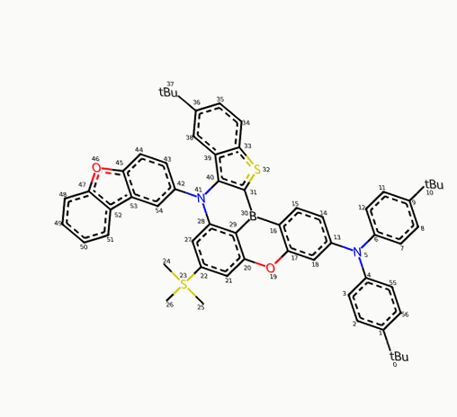 CC(C)(C)c1ccc(N(c2ccc(C(C)(C)C)cc2)c2ccc3c(c2)Oc2cc(S(C)(C)C)cc4c2B3c2sc3ccc(C(C)(C)C)cc3c2N4c2ccc3oc4ccccc4c3c2)cc1